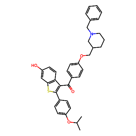 CC(C)Oc1ccc(-c2sc3cc(O)ccc3c2C(=O)c2ccc(OCC3CCCN(Cc4ccccc4)C3)cc2)cc1